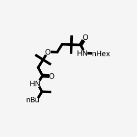 CCCCCCNC(=O)C(C)(C)CCOC(C)(C)CC(=O)NC(C)CCCC